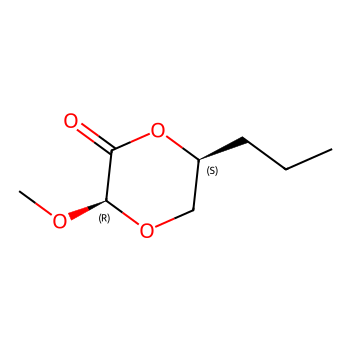 CCC[C@H]1CO[C@@H](OC)C(=O)O1